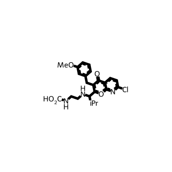 COc1cccc(Cc2c(C(NCCNC(=O)O)C(C)C)oc3nc(Cl)ccc3c2=O)c1